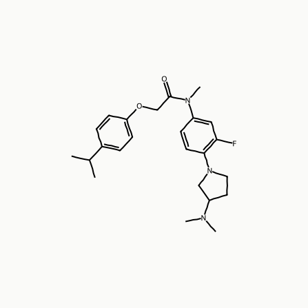 CC(C)c1ccc(OCC(=O)N(C)c2ccc(N3CCC(N(C)C)C3)c(F)c2)cc1